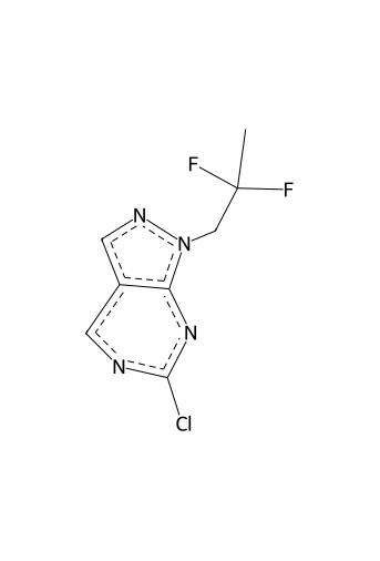 CC(F)(F)Cn1ncc2cnc(Cl)nc21